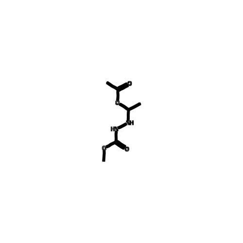 COC(=O)NNC(C)OC(C)=O